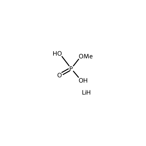 COP(=O)(O)O.[LiH]